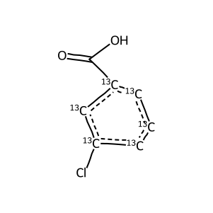 O=C(O)[13c]1[13cH][13cH][13cH][13c](Cl)[13cH]1